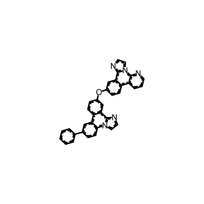 c1ccc(-c2ccc3c(c2)c2ccc(Oc4ccc5c6cccnc6n6ccnc6c5c4)cc2c2nccn32)cc1